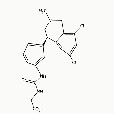 CN1Cc2c(Cl)cc(Cl)cc2[C@@H](c2cccc(NC(=O)NCC(=O)O)c2)C1